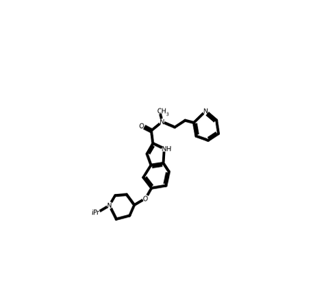 CC(C)N1CCC(Oc2ccc3[nH]c(C(=O)N(C)CCc4ccccn4)cc3c2)CC1